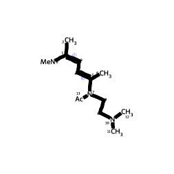 CN/C(C)=C\C=C(/C)N(CCN(C)C)C(C)=O